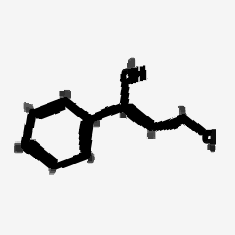 OC(=CCCl)c1ccccc1